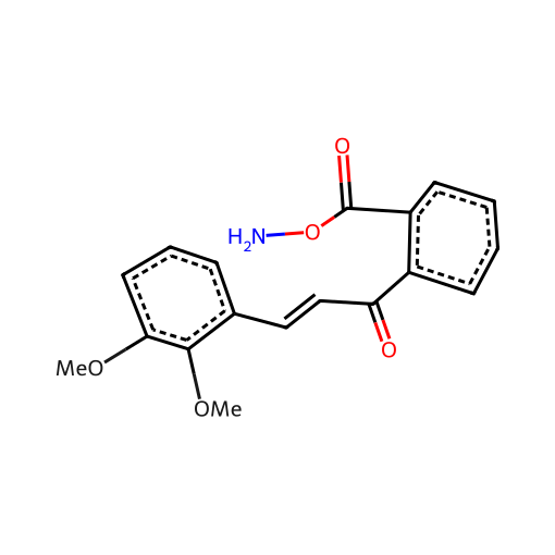 COc1cccc(/C=C/C(=O)c2ccccc2C(=O)ON)c1OC